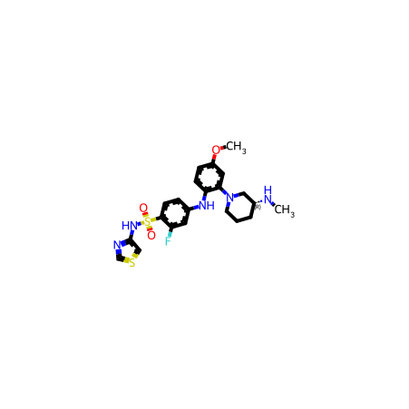 CN[C@@H]1CCCN(c2cc(OC)ccc2Nc2ccc(S(=O)(=O)Nc3cscn3)c(F)c2)C1